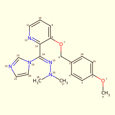 COc1ccc(COc2cccnc2C(=NN(C)C)n2ccnc2)cc1